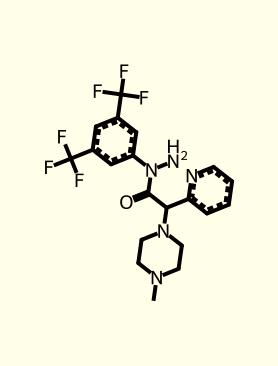 CN1CCN(C(C(=O)N(N)c2cc(C(F)(F)F)cc(C(F)(F)F)c2)c2ccccn2)CC1